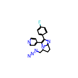 [N-]=[N+]=NCC1CCc2nc(-c3ccc(F)cc3)c(-c3ccncc3)n21